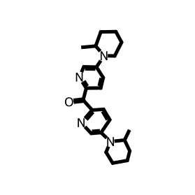 CC1CCCCN1c1ccc(C(=O)c2ccc(N3CCCCC3C)cn2)nc1